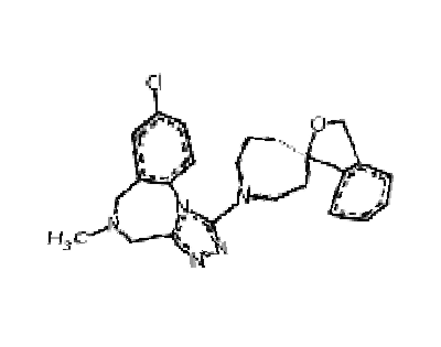 CN1Cc2cc(Cl)ccc2-n2c(nnc2N2CCC[C@]3(CC2)OCc2ccccc23)C1